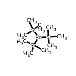 C[Si](C)(C)[Sb]([Si](C)(C)C)[Si](C)(C)C